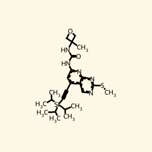 CSc1ncc2c(C#C[Si](C(C)C)(C(C)C)C(C)C)cc(NC(=O)NC3(C)COC3)nc2n1